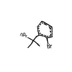 CCCC(C)(C)c1ccccc1Br